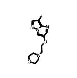 Ic1cnn2cc(OCCN3CCOCC3)cnc12